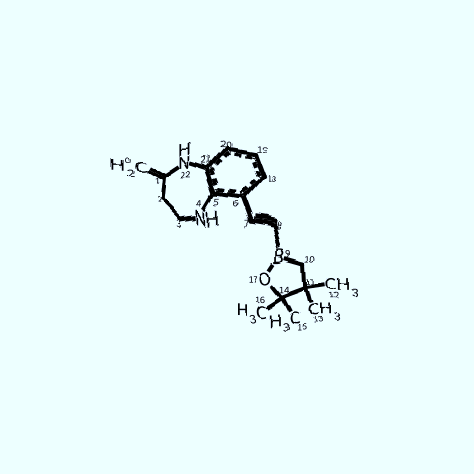 C=C1CCNc2c(/C=C/B3CC(C)(C)C(C)(C)O3)cccc2N1